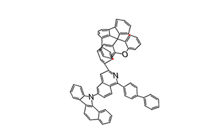 c1ccc(-c2ccc(-c3nc(-c4ccc(-c5cccc6c5C5(c7ccccc7Oc7ccccc75)c5ccccc5-6)cc4)cc4cc(-n5c6ccccc6c6ccc7ccccc7c65)ccc34)cc2)cc1